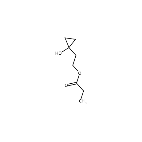 CCC(=O)OCCC1(O)CC1